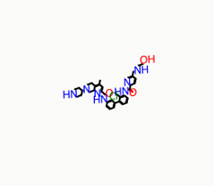 Cc1cc(C(=O)Nc2cccc(-c3cccc(NC(=O)c4ccc(CNCCO)cn4)c3C)c2Cl)nc2c1CCN(C1CCNCC1)C2